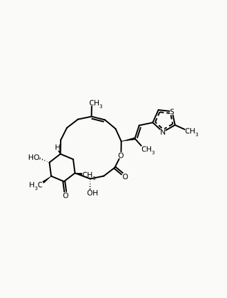 C/C1=C/C[C@@H](/C(C)=C/c2csc(C)n2)OC(=O)C[C@H](O)[C@@]2(C)C[C@@H](CCC1)[C@@H](O)[C@H](C)C2=O